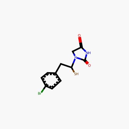 O=C1CN(C(S)Cc2ccc(Br)cc2)C(=O)N1